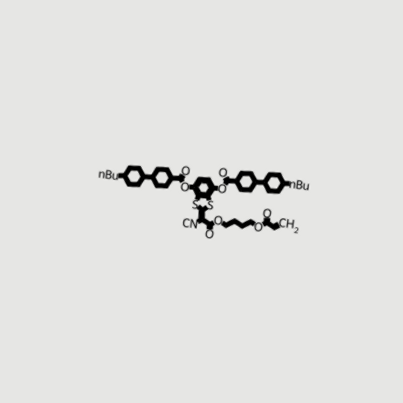 [C-]#[N+]C(C(=O)OCCCCOC(=O)C=C)=C1Sc2c(OC(=O)C3CCC(C4CCC(CCCC)CC4)CC3)ccc(OC(=O)C3CCC(C4CCC(CCCC)CC4)CC3)c2S1